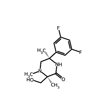 CN1C[C@@](C)(c2cc(F)cc(F)c2)NC(=O)[C@@]1(C)CO